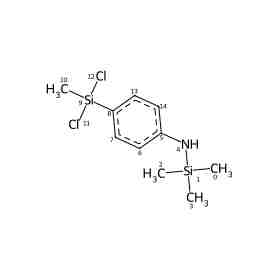 C[Si](C)(C)Nc1ccc([Si](C)(Cl)Cl)cc1